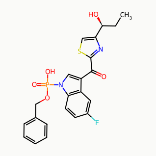 CC[C@H](O)c1csc(C(=O)c2cn(P(=O)(O)OCc3ccccc3)c3ccc(F)cc23)n1